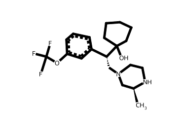 C[C@H]1CN(C[C@H](c2cccc(OC(F)(F)F)c2)C2(O)CCCCC2)CCN1